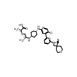 C[C@H](OC[C@H](C)N[C@H]1CC[C@H](Nc2cc(-c3cccc(NCC4(C#N)CCOCC4)n3)c(Cl)cn2)CC1)C(=O)O